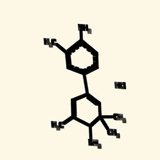 CC1=CC(c2ccc(N)c(C)c2)=CC(C)(C)C1N.Cl